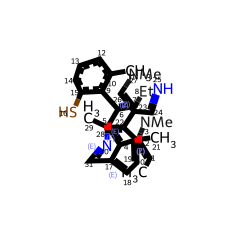 C\C=C(NC)/C(=C\C(=C\CC)c1c(C)cccc1S)C1=C\C=C(C)/C(C(/C=N)=C/NC)=C(C)\N=C\1